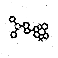 CC1(C)c2cccc3c2-c2c1ccc1c(-c4cccc5c(-c6nc(-c7ccccc7)nc(-c7ccccc7)n6)cccc45)cc4sc5cccc-3c5c4c21